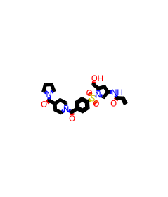 C=CC(=O)NC1CC(CO)N(S(=O)(=O)c2ccc(C(=O)N3CCC(C(=O)N4CCCC4)CC3)cc2)C1